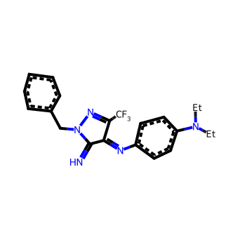 CCN(CC)c1ccc(N=C2C(=N)N(Cc3ccccc3)N=C2C(F)(F)F)cc1